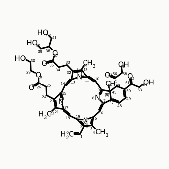 C=Cc1c(C)c2cc3nc(cc4[nH]c(cc5nc(cc1[nH]2)C(C)=C5CCC(=O)OCCO)c(CCC(=O)OC(CO)CO)c4C)[C@@]1(C)C3=CC=C(C(=O)CO)[C@H]1C(=O)CO